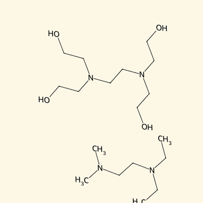 CCN(CC)CCN(C)C.OCCN(CCO)CCN(CCO)CCO